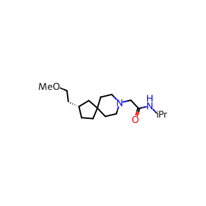 COCC[C@H]1CCC2(CCN(CC(=O)NC(C)C)CC2)C1